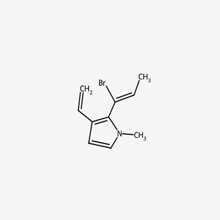 C=Cc1ccn(C)c1C(Br)=CC